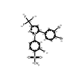 CS(=O)(=O)c1ccc(-n2nc(C(F)(F)F)cc2-c2ccc(Br)c(Br)c2)cc1F